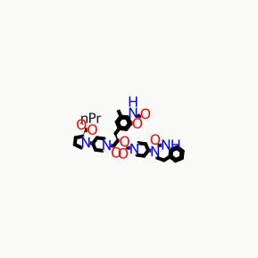 CCCOC(=O)[C@H]1CCCN1C1CCN(C(=O)[C@@H](Cc2cc(C)c3[nH]c(=O)oc3c2)OC(=O)N2CCC(N3CCc4ccccc4NC3=O)CC2)CC1